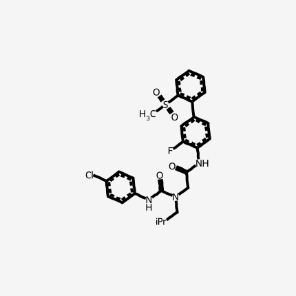 CC(C)CN(CC(=O)Nc1ccc(-c2ccccc2S(C)(=O)=O)cc1F)C(=O)Nc1ccc(Cl)cc1